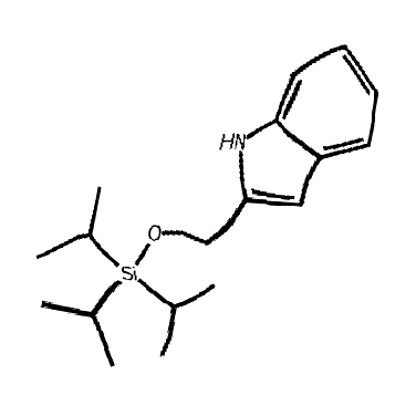 CC(C)[Si](OCc1cc2ccccc2[nH]1)(C(C)C)C(C)C